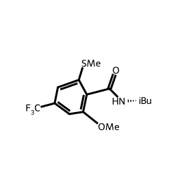 CC[C@@H](C)NC(=O)c1c(OC)cc(C(F)(F)F)cc1SC